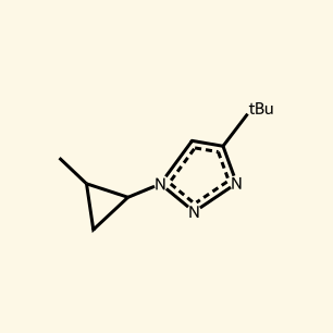 CC1CC1n1cc(C(C)(C)C)nn1